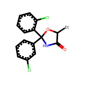 CCC1OC(c2cccc(Cl)c2)(c2ccccc2Cl)NC1=O